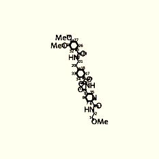 COCCNC(=O)c1ccc(C(=O)NS(=O)(=O)c2ccc(CCNC(=O)c3ccc(OC)c(OC)c3)cc2)cn1